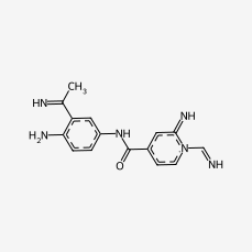 CC(=N)c1cc(NC(=O)c2ccn(C=N)c(=N)c2)ccc1N